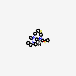 B1c2cc3sc4ccccc4c3cc2N(c2ccc3sc4ccccc4c3c2)c2cc(N(c3ccccc3)c3ccccc3)cc(-c3cccc4c3[nH]c3c5ccccc5ccc43)c21